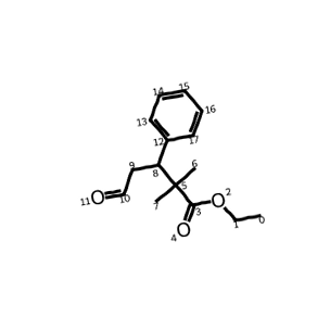 CCOC(=O)C(C)(C)C(CC=O)c1ccccc1